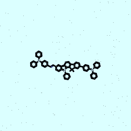 CC1(C)c2cc(-c3ccc(N(c4ccccc4)c4ccccc4)cc3)ccc2-c2ccc3c4cc(/C=C/c5ccc(N(c6ccccc6)c6ccccc6)cc5)ccc4n(-c4ccccc4)c3c21